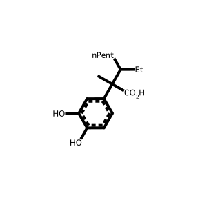 CCCCCC(CC)C(C)(C(=O)O)c1ccc(O)c(O)c1